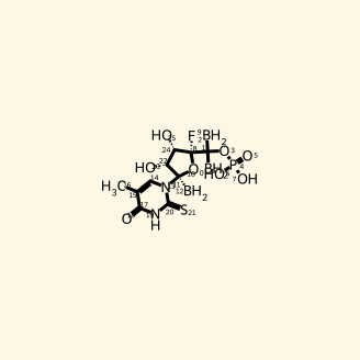 BC(B)(OP(=O)(O)O)[C@@]1(F)O[C@@](B)(n2cc(C)c(=O)[nH]c2=S)[C@H](O)[C@@H]1O